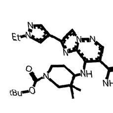 CCn1cc(-c2cn3ncc(C(N)=O)c(NC4CCN(C(=O)OC(C)(C)C)CC4(C)C)c3n2)cn1